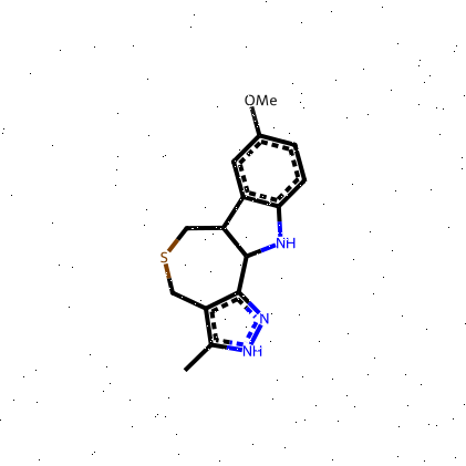 COc1ccc2c(c1)C1CSCc3c(n[nH]c3C)C1N2